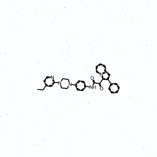 CCc1ccnc(N2CCN(c3ccc(NC(=O)C(=O)c4c(-c5ccccc5)cc5ccccn45)cc3)CC2)c1